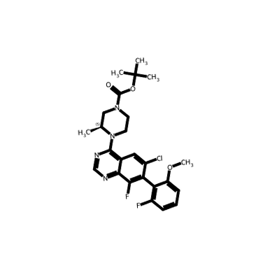 COc1cccc(F)c1-c1c(Cl)cc2c(N3CCN(C(=O)OC(C)(C)C)C[C@@H]3C)ncnc2c1F